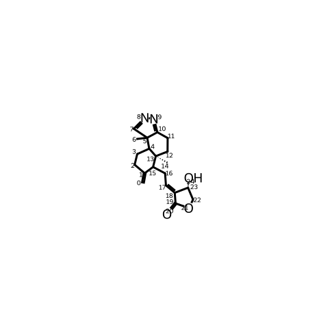 C=C1CCC2C3(C)C=NN=C3CC[C@@]2(C)C1C/C=C1/C(=O)OC[C@H]1O